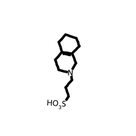 O=S(=O)(O)CCCN1CCC2=C(CCCC2)C1